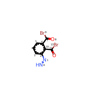 N=Nc1cccc(C(=O)Br)c1C(=O)Br